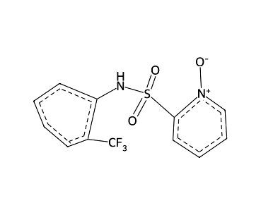 O=S(=O)(Nc1ccccc1C(F)(F)F)c1cccc[n+]1[O-]